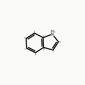 [c]1cc[c]c2[nH]ccc12